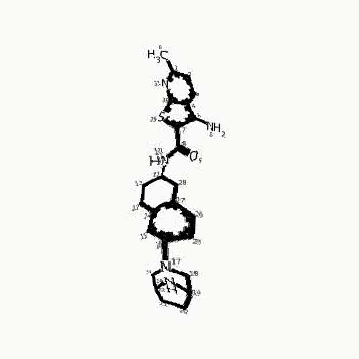 Cc1ccc2c(N)c(C(=O)N[C@@H]3CCc4cc(N5CC6CCC(C5)N6)ccc4C3)sc2n1